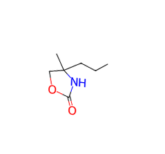 CCCC1(C)COC(=O)N1